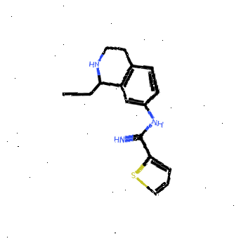 CCC1NCCc2ccc(NC(=N)c3cccs3)cc21